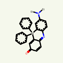 CCN(CC)c1ccc2c(c1)[Si](c1ccccc1)(c1ccccc1)C1=CC(=O)C=CC1=N2